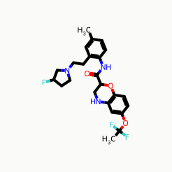 Cc1ccc(NC(=O)C2CNc3cc(OC(C)(F)F)ccc3O2)c(CCN2CCC(F)C2)c1